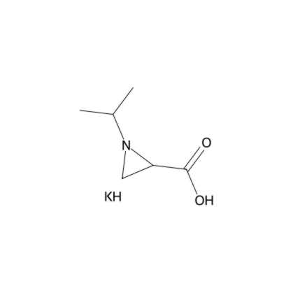 CC(C)N1CC1C(=O)O.[KH]